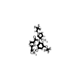 C#Cc1nc(C(=O)N(c2cc(OC)cc(OC(F)(F)F)c2)C2(C)CCN(CC(F)(F)F)C2)cs1